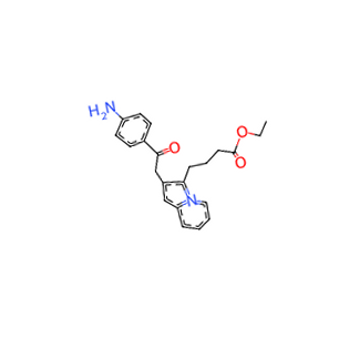 CCOC(=O)CCCc1c(CC(=O)c2ccc(N)cc2)cc2ccccn12